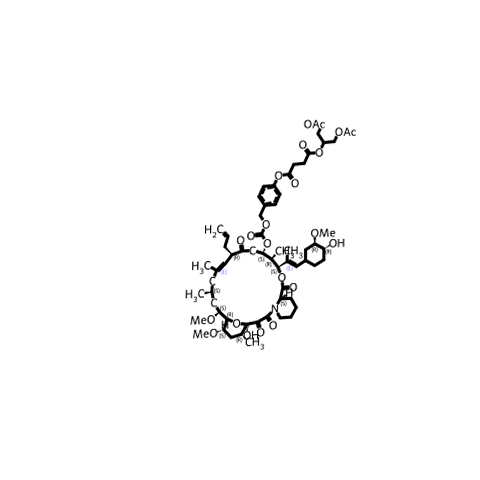 C=CC[C@@H]1/C=C(\C)C[C@H](C)C[C@H](OC)[C@H]2O[C@@](O)(C(=O)C(=O)N3CCCC[C@H]3C(=O)O[C@H](/C(C)=C/C3CC[C@@H](O)[C@H](OC)C3)[C@H](C)[C@@H](OC(=O)OCc3ccc(OC(=O)CCC(=O)OC(COC(C)=O)COC(C)=O)cc3)CC1=O)[C@H](C)C[C@@H]2OC